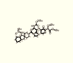 CC(C)(C)OC(=O)Nc1nc(N2CCC3(CC2)Cc2ccccc2[C@H]3N[S+]([O-])C(C)(C)C)n2ccnc2c1Sc1ccnc(N(OC(C)(C)C)C(=O)OC(C)(C)C)c1Cl